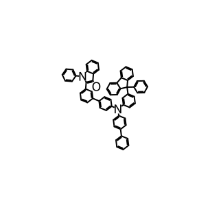 c1ccc(-c2ccc(N(c3ccc(-c4cccc5c4oc4c6ccccc6n(-c6ccccc6)c54)cc3)c3cccc(C4(c5ccccc5)c5ccccc5-c5ccccc54)c3)cc2)cc1